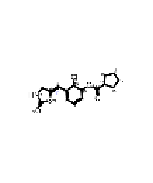 O=C1NC/C(=C/C2=CC=CC(OC(=O)C3CCCC3)C2Cl)S1